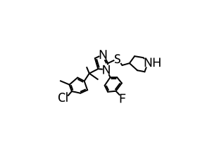 Cc1cc(C(C)(C)c2cnc(SCC3CCNCC3)n2-c2ccc(F)cc2)ccc1Cl